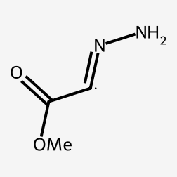 COC(=O)[C]=NN